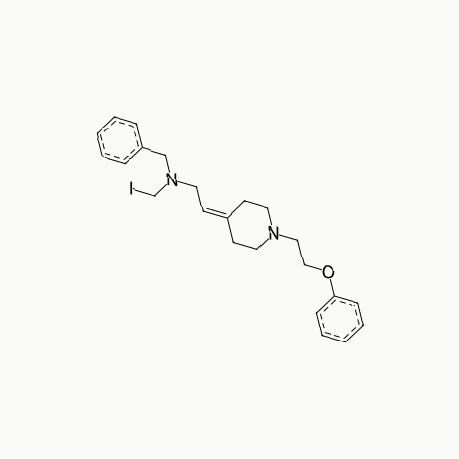 ICN(CC=C1CCN(CCOc2ccccc2)CC1)Cc1ccccc1